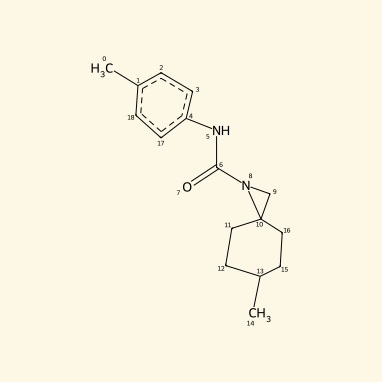 Cc1ccc(NC(=O)N2CC23CCC(C)CC3)cc1